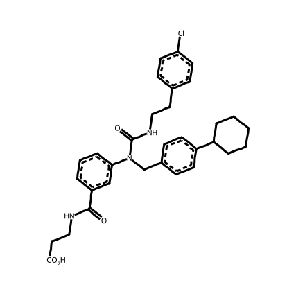 O=C(O)CCNC(=O)c1cccc(N(Cc2ccc(C3CCCCC3)cc2)C(=O)NCCc2ccc(Cl)cc2)c1